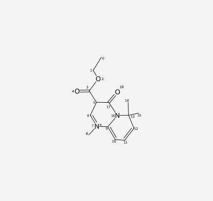 CCOC(=O)C1C=[N+](C)C2=CC=CC(C)(C)N2C1=O